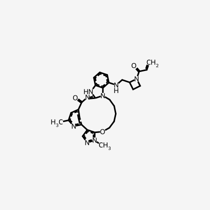 C=CC(=O)N1CCC1CNc1cccc2c1N1CCCCCOc3c(cnn3C)-c3cc(cc(C)n3)C(=O)/N=C/1N2